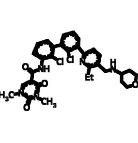 CCc1nc(-c2cccc(-c3cccc(NC(=O)c4cn(C)c(=O)n(C)c4=O)c3Cl)c2Cl)ccc1CNC1CCOCC1